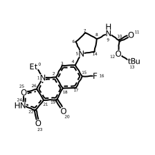 CCn1c2cc(N3CCC(NC(=O)OC(C)(C)C)C3)c(F)cc2c(=O)c2c(=O)[nH]oc21